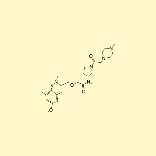 COc1cc(C)c(SN(C)CCOCC(=O)N(C)[C@@H]2CCN(C(=O)CN3CCN(C)CC3)C2)c(C)c1